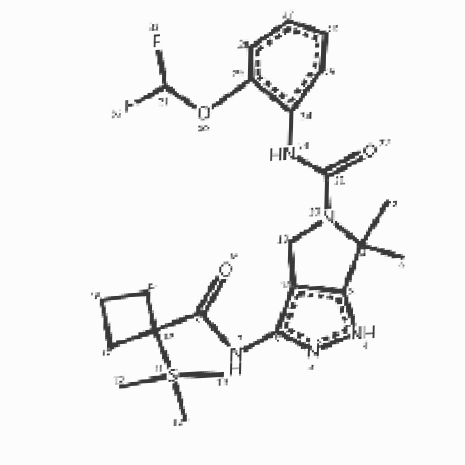 CC1(C)c2[nH]nc(NC(=O)C3(S(C)(C)C)CCC3)c2CN1C(=O)Nc1ccccc1OC(F)F